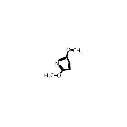 COc1[c]cc(OC)nc1